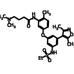 CCS(=O)(=O)Nc1cc(Oc2ccc(C)c(NC(=O)CCCN(C)C)c2)cc(-c2c(C)noc2C)c1